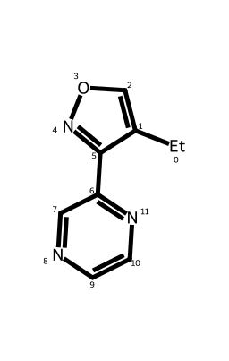 CCc1conc1-c1cnccn1